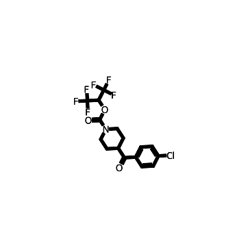 O=C(c1ccc(Cl)cc1)C1CCN(C(=O)OC(C(F)(F)F)C(F)(F)F)CC1